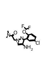 CN(C)C(=O)Cn1cc(N)c(-c2cc(Cl)ccc2OC(F)F)n1